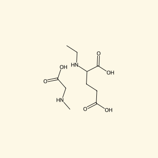 CCNC(CCC(=O)O)C(=O)O.CNCC(=O)O